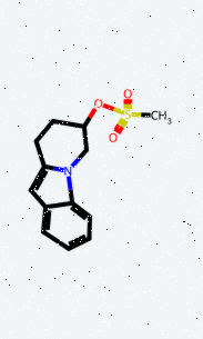 CS(=O)(=O)OC1CCc2cc3ccccc3n2C1